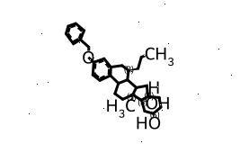 CCC[C@@H]1Cc2cc(OCc3ccccc3)ccc2C2CC[C@@]3(C)C(C[C@H]4CC[C@H](O)C[C@]43O)C21